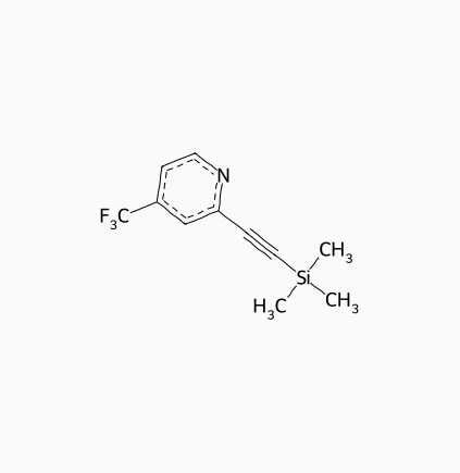 C[Si](C)(C)C#Cc1cc(C(F)(F)F)ccn1